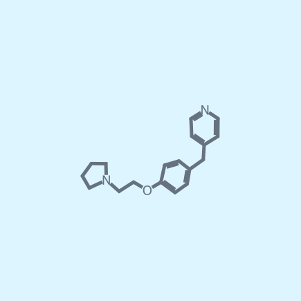 c1cc(Cc2ccc(OCCN3CCCC3)cc2)ccn1